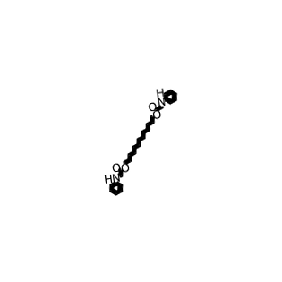 O=C(CNc1ccccc1)OCCCCCCCCCCCCCOC(=O)CNc1ccccc1